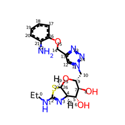 CCNC1=N[C@@H]2[C@@H](O)[C@H](O)[C@@H](Cn3cc(COc4ccccc4N)nn3)O[C@@H]2S1